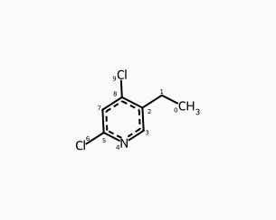 CCc1cnc(Cl)cc1Cl